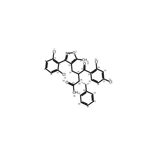 Cc1onc(-c2c(Cl)cccc2Cl)c1CC(C(=O)c1ccc(Cl)cc1Cl)[C@H](Cc1ccccc1)C(=O)O